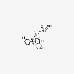 C[C@@H](CCNC(=O)OC(C)(C)C)CC(=O)N(C1CCCNCC1O)S(=O)(=O)c1cccc(Cl)c1